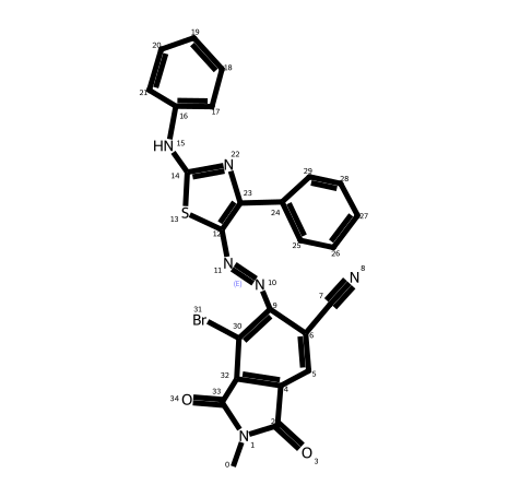 CN1C(=O)c2cc(C#N)c(/N=N/c3sc(Nc4ccccc4)nc3-c3ccccc3)c(Br)c2C1=O